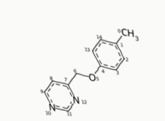 Cc1ccc(OCc2ccncn2)cc1